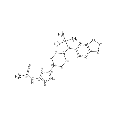 BC(B)(B)C(c1ccc2c(c1)OCO2)N1CCN(c2nnc(NC(C)=O)s2)CC1